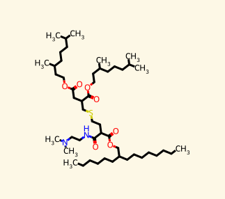 CCCCCCCCC(CCCCCC)COC(=O)C(CCSCC(CC(=O)OCCC(C)CCCC(C)C)C(=O)OCCC(C)CCCC(C)C)C(=O)NCCN(C)C